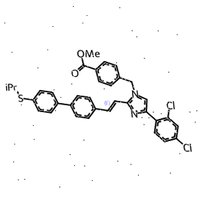 COC(=O)c1ccc(Cn2cc(-c3ccc(Cl)cc3Cl)nc2/C=C/c2ccc(-c3ccc(SC(C)C)cc3)cc2)cc1